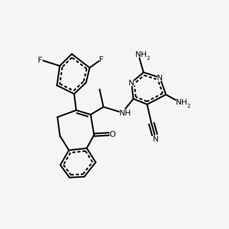 CC(Nc1nc(N)nc(N)c1C#N)C1=C(c2cc(F)cc(F)c2)CCc2ccccc2C1=O